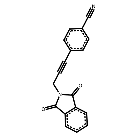 N#Cc1ccc(C#CCN2C(=O)c3ccccc3C2=O)cc1